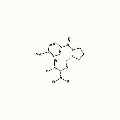 COc1ccc(C(=O)N2CCC[C@@H]2COP(N(C(C)C)C(C)C)N(C(C)C)C(C)C)cc1